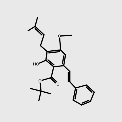 COc1cc(/C=C/c2ccccc2)c(C(=O)OC(C)(C)C)c(O)c1CC=C(C)C